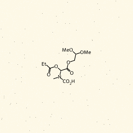 CCC(=O)OC(C(=O)OCC(OC)OC)N(C)C(=O)O